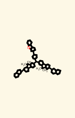 CC1(C)c2cc(-c3ccc4ccccc4c3)ccc2-c2ccc(C(c3ccc(-c4ccc5c(c4)oc4ccccc45)cc3)c3ccc4c(c3)C(C)(C)c3cc(-c5ccc6ccccc6c5)ccc3-4)cc21